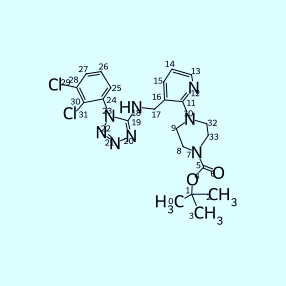 CC(C)(C)OC(=O)N1CCN(c2ncccc2CNc2nnnn2-c2cccc(Cl)c2Cl)CC1